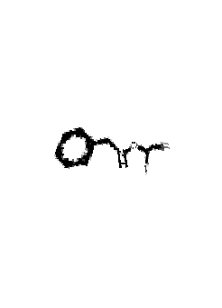 FC(F)ONCc1ccccc1